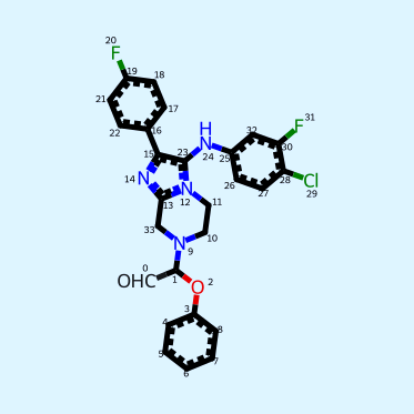 O=CC(Oc1ccccc1)N1CCn2c(nc(-c3ccc(F)cc3)c2Nc2ccc(Cl)c(F)c2)C1